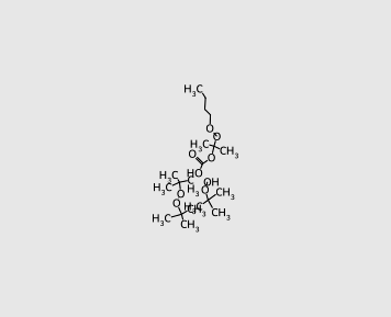 CC(C)(C)OO.CC(C)(C)OOC(C)(C)C.CCCCOOC(C)(C)OC(=O)O